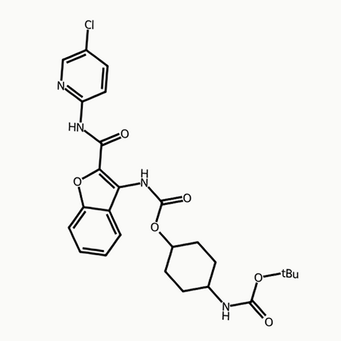 CC(C)(C)OC(=O)NC1CCC(OC(=O)Nc2c(C(=O)Nc3ccc(Cl)cn3)oc3ccccc23)CC1